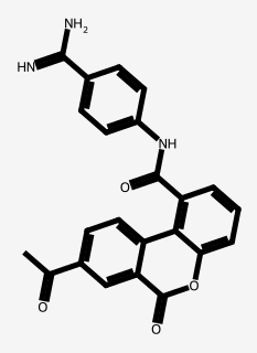 CC(=O)c1ccc2c(c1)c(=O)oc1cccc(C(=O)Nc3ccc(C(=N)N)cc3)c12